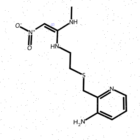 CN/C(=C/[N+](=O)[O-])NCCSCc1ncccc1N